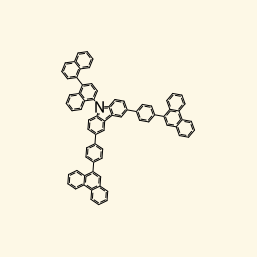 c1ccc2c(-c3ccc(-n4c5ccc(-c6ccc(-c7cc8ccccc8c8ccccc78)cc6)cc5c5cc(-c6ccc(-c7cc8ccccc8c8ccccc78)cc6)ccc54)c4ccccc34)cccc2c1